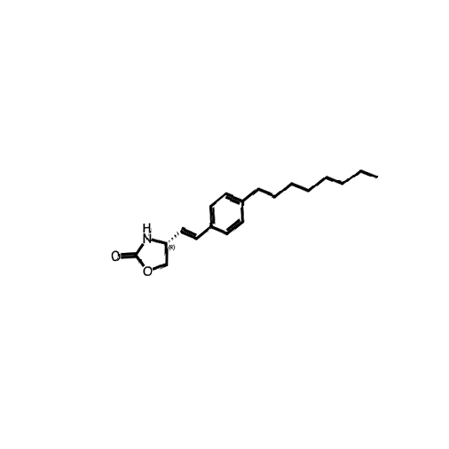 CCCCCCCCc1ccc(C=C[C@@H]2COC(=O)N2)cc1